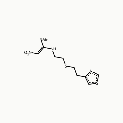 CNC(=C[N+](=O)[O-])NCCSCCc1cscn1